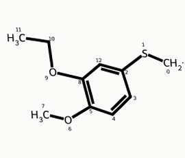 [CH2]Sc1ccc(OC)c(OCC)c1